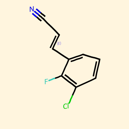 N#C/C=C/c1cccc(Cl)c1F